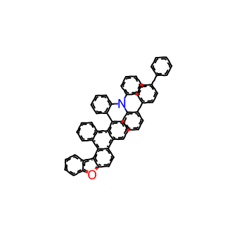 c1ccc(-c2ccc(-c3ccccc3N(c3ccccc3)c3ccccc3-c3cccc4c5ccc6oc7ccccc7c6c5c5ccccc5c34)cc2)cc1